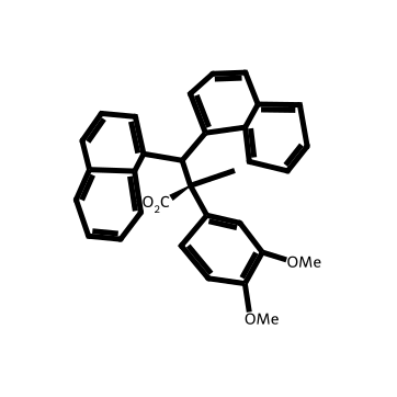 COc1ccc([C@](C)(C(=O)O)C(c2cccc3ccccc23)c2cccc3ccccc23)cc1OC